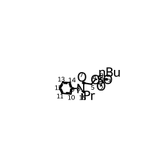 CCCCS(=O)(=O)OCC(=O)N(c1ccccc1)C(C)C